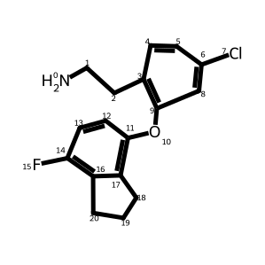 NCCc1ccc(Cl)cc1Oc1ccc(F)c2c1CCC2